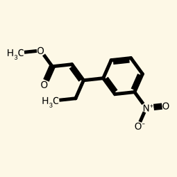 CC/C(=C\C(=O)OC)c1cccc([N+](=O)[O-])c1